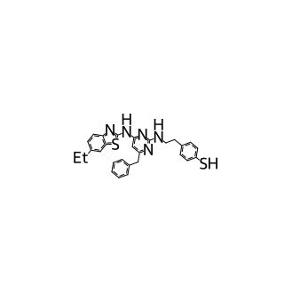 CCc1ccc2nc(Nc3cc(Cc4ccccc4)nc(NCCc4ccc(S)cc4)n3)sc2c1